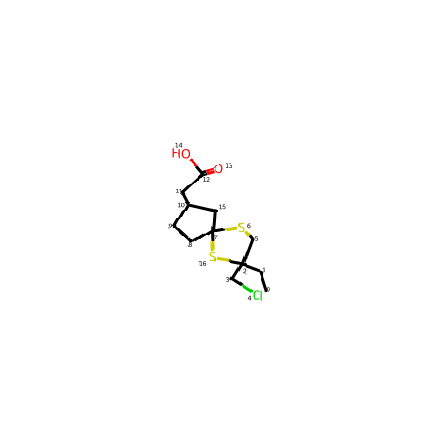 CCC1(CCl)CSC2(CCC(CC(=O)O)C2)S1